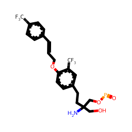 NC(CO)(CCc1ccc(OCC=Cc2ccc(C(F)(F)F)cc2)c(C(F)(F)F)c1)COP=O